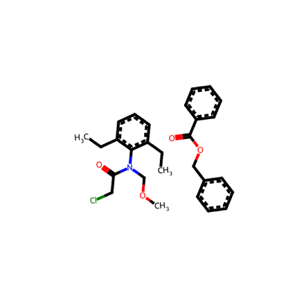 CCc1cccc(CC)c1N(COC)C(=O)CCl.O=C(OCc1ccccc1)c1ccccc1